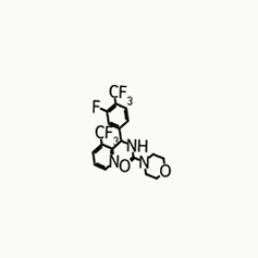 O=C(NC(c1ccc(C(F)(F)F)c(F)c1)c1ncccc1C(F)(F)F)N1CCOCC1